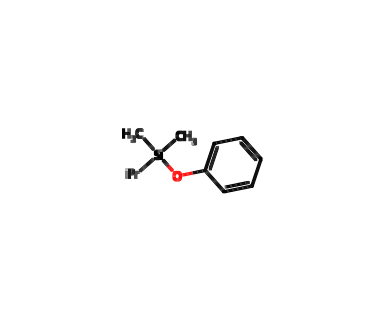 CC(C)[Si](C)(C)Oc1ccccc1